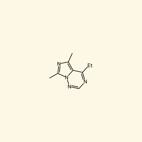 CCc1ncnn2c(C)nc(C)c12